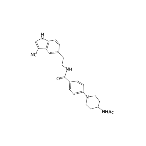 CC(=O)NC1CCN(c2ccc(C(=O)NCCc3ccc4[nH]cc(C#N)c4c3)cc2)CC1